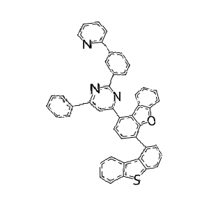 c1ccc(-c2cc(-c3ccc(-c4cccc5sc6ccccc6c45)c4oc5ccccc5c34)nc(-c3cccc(-c4ccccn4)c3)n2)cc1